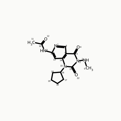 CNn1c(=O)c2cnc(NC(C)=O)cc2n(C2CCCC2)c1=O